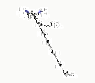 CNC(CCCCNC(=O)[C@H](CCCCNC(=O)CCCC(=O)NOCCOCC(=O)NCCOCCOCC(=O)NCCCC[C@H](NC)C(N)=O)NC(=O)CCCC(=O)NC(CNC(C)(C)/C(C)=N/O)CNC(C)(C)/C(C)=N/O)C(N)=O